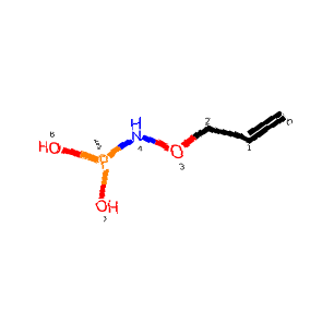 C=CCONP(O)O